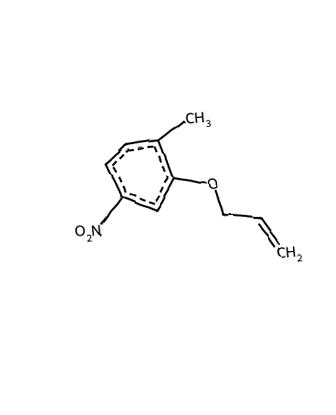 C=CCOc1cc([N+](=O)[O-])ccc1C